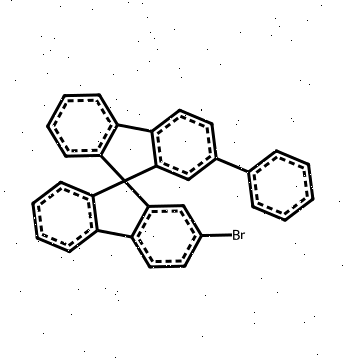 Brc1ccc2c(c1)C1(c3ccccc3-2)c2ccccc2-c2ccc(-c3ccccc3)cc21